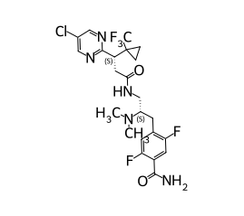 CN(C)[C@H](CNC(=O)C[C@H](c1ncc(Cl)cn1)C1(C(F)(F)F)CC1)Cc1cc(F)c(C(N)=O)cc1F